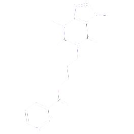 Cn1cnc2c1c(=O)n(CCCOC(=O)c1cccnc1)c(=O)n2C